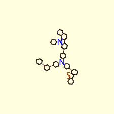 c1ccc(-c2cccc(-c3ccc(N(c4ccc(-c5ccc6c7ccc8ccccc8c7n(-c7ccccc7)c6c5)cc4)c4ccc(-c5cccc6c5sc5ccccc56)cc4)cc3)c2)cc1